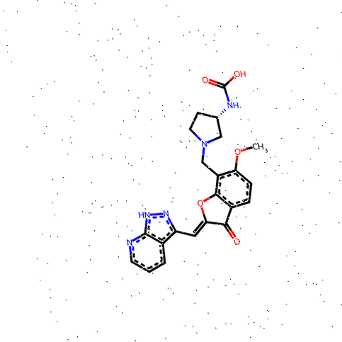 COc1ccc2c(c1CN1CC[C@H](NC(=O)O)C1)OC(=Cc1n[nH]c3ncccc13)C2=O